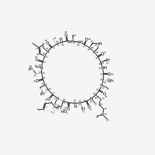 C/C=C/C[C@@H](C)[C@@H](O)[C@H]1C(=O)N[C@@H](CC)C(=O)N(C)[C@H](SCCN(C)C)C(=O)N(C)[C@@H](CCC)C(=O)N[C@H](C(C)C)C(=O)N(C)[C@H](CC(C)C)C(=O)N[C@H](C)C(=O)N[C@@H](C)C(=O)N(C)[C@H](C=C(C)C)C(=O)N(C)[C@@H](CC(C)C)C(=O)N(C)[C@@H](C(C)C)C(=O)N1C